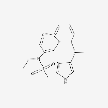 CCN(c1ccc2cccc(C(C)c3c[nH]cn3)c2c1)S(C)(=O)=O